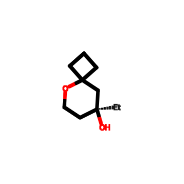 CC[C@]1(O)CCOC2(CCC2)C1